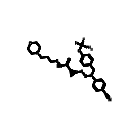 N#Cc1ccc(N(Cc2ccc(OC(F)(F)P)cc2)SSN2C=C2C(=O)NSCCCN2CCOCC2)cc1